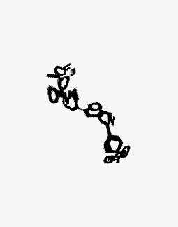 C[C@@H](OC(=O)N1CCC([C@H]2Cc3cc(-c4ccc(S(C)(=O)=O)cc4)ncc3O2)CC1)C(F)(F)F